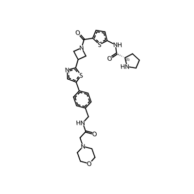 O=C(CN1CCOCC1)NCc1ccc(-c2cnc(C3CN(C(=O)c4ccc(NC(=O)[C@@H]5CCCN5)s4)C3)s2)cc1